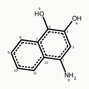 Nc1cc(O)c(O)c2ccccc12